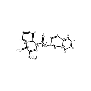 O=C(O)c1cn(C(=O)Nc2ccc3nccnc3c2)c2ccccc2c1=O